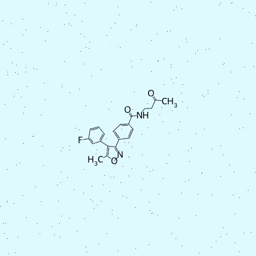 CC(=O)CCNC(=O)c1ccc(-c2noc(C)c2-c2cccc(F)c2)cc1